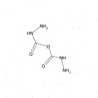 NNC(=O)OC(=O)NN